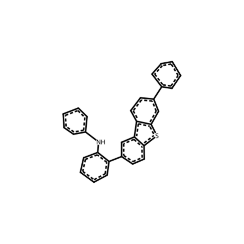 c1ccc(Nc2ccccc2-c2ccc3sc4cc(-c5ccccc5)ccc4c3c2)cc1